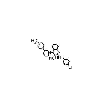 CN1CCN(C2CCCN(c3c(C#N)c(NCc4ccc(Cl)cc4)nc4ccccc34)C2)CC1